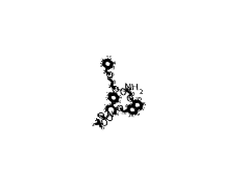 CC(C)(C)OC(=O)ON1CCC(c2ccc(OCCCOCc3ccccc3)cc2)C(OCc2ccc3cccc(OCC(N)=O)c3c2)C1